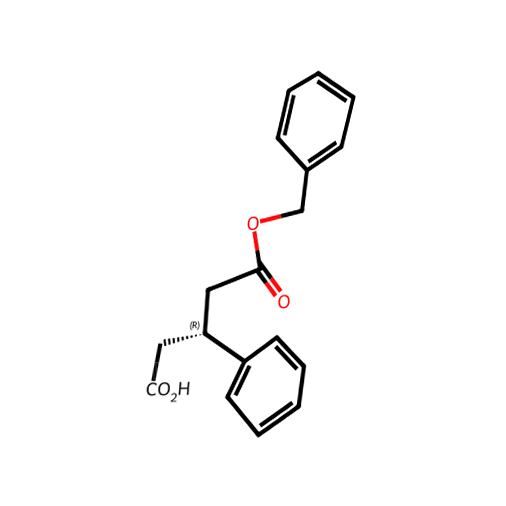 O=C(O)C[C@H](CC(=O)OCc1ccccc1)c1ccccc1